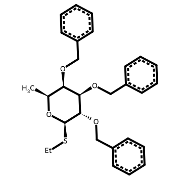 CCS[C@H]1O[C@@H](C)[C@@H](OCc2ccccc2)[C@@H](OCc2ccccc2)[C@@H]1OCc1ccccc1